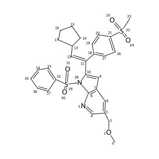 COCc1cnc2c(c1)cc(C(=CC1CCCC1)c1ccc(S(C)(=O)=O)cc1)n2S(=O)(=O)c1ccccc1